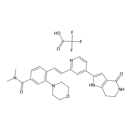 CN(C)C(=O)c1ccc(C=Cc2cc(-c3cc4c([nH]3)CCNC4=O)ccn2)c(N2CCOCC2)c1.O=C(O)C(F)(F)F